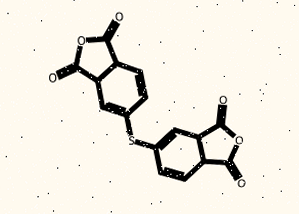 O=C1OC(=O)C2C=C(SC3=CC4C(=O)OC(=O)C4C=C3)C=CC12